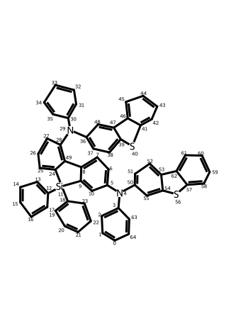 c1ccc(N(c2ccc3c(c2)[Si](c2ccccc2)(c2ccccc2)c2cccc(N(c4ccccc4)c4ccc5sc6ccccc6c5c4)c2-3)c2ccc3c(c2)sc2ccccc23)cc1